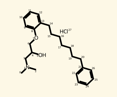 CN(C)CC(O)COc1ccccc1CCCCCCCc1ccccc1.Cl